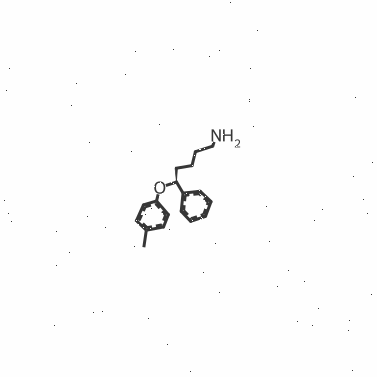 Cc1ccc(O[C@@H](CCCCN)c2ccccc2)cc1